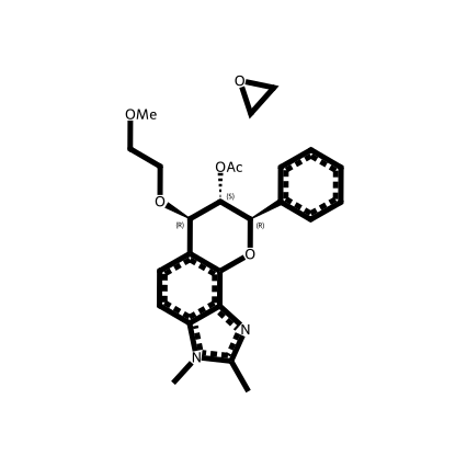 C1CO1.COCCO[C@@H]1c2ccc3c(nc(C)n3C)c2O[C@H](c2ccccc2)[C@H]1OC(C)=O